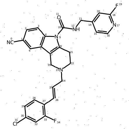 N#Cc1ccc2c(c1)c1c(n2C(=O)NCc2ccnc(F)c2)CCN(CC=Cc2ccc(Cl)cc2F)C1